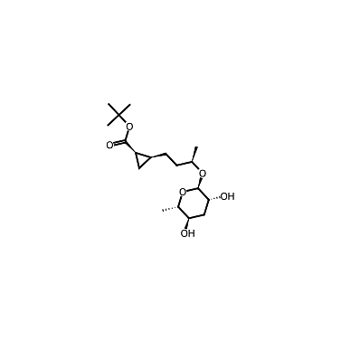 C[C@H](CC[C@H]1C[C@H]1C(=O)OC(C)(C)C)O[C@@H]1O[C@@H](C)[C@H](O)C[C@H]1O